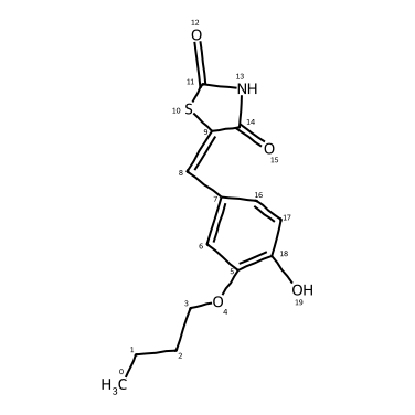 CCCCOc1cc(C=C2SC(=O)NC2=O)ccc1O